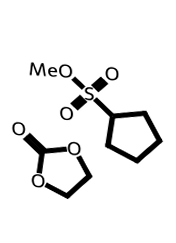 COS(=O)(=O)C1CCCC1.O=C1OCCO1